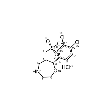 CS(=O)(=O)C[C@H]1CNCCO[C@@H]1c1ccc(Cl)c(Cl)c1.Cl